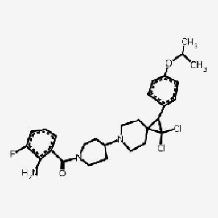 CC(C)Oc1ccc(C2C(Cl)(Cl)C23CCN(C2CCN(C(=O)c4cccc(F)c4N)CC2)CC3)cc1